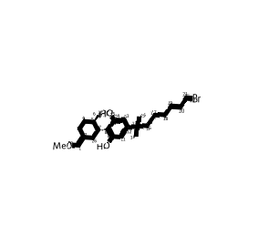 COC=C1CC[C@@H](C(C)C)[C@H](c2c(O)cc(C(C)(C)CCCCCCBr)cc2O)C1